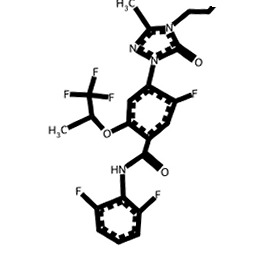 CCCn1c(C)nn(-c2cc(OC(C)C(F)(F)F)c(C(=O)Nc3c(F)cccc3F)cc2F)c1=O